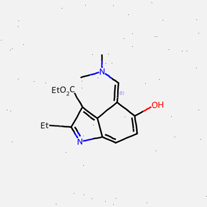 CCOC(=O)C1=c2c(ccc(O)/c2=C/N(C)C)N=C1CC